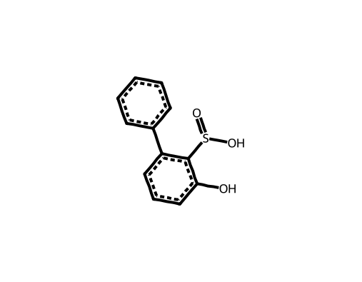 O=S(O)c1c(O)cccc1-c1ccccc1